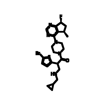 C[C@@H]1C[C@H](F)c2ncnc(N3CCN(C(=O)C(CNCC4CC4)c4ccc(Br)s4)CC3)c21